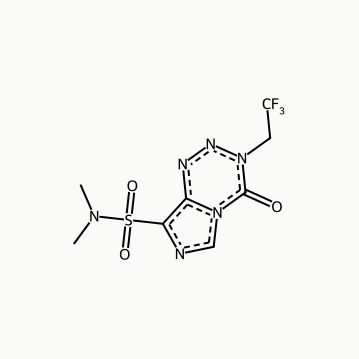 CN(C)S(=O)(=O)c1ncn2c(=O)n(CC(F)(F)F)nnc12